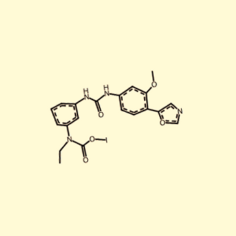 CCN(C(=O)OI)c1cccc(NC(=O)Nc2ccc(-c3cnco3)c(OC)c2)c1